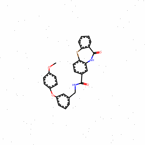 COc1ccc(Oc2cccc(CNC(=O)c3ccc4c(c3)NC(=O)c3ccccc3S4)c2)cc1